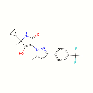 Cc1cc(-c2ccc(C(F)(F)F)cc2)nn1C1=C(O)C(C)(C2CC2)NC1=O